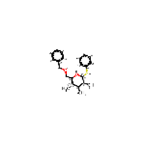 CC1[C@@H](C)[C@H](C)C(COCc2ccccc2)O[C@H]1Sc1ccccc1